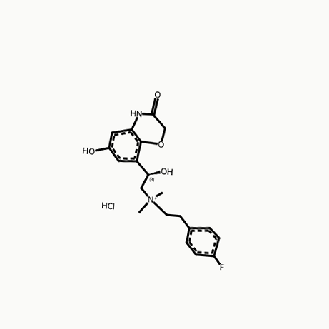 C[N+](C)(CCc1ccc(F)cc1)C[C@H](O)c1cc(O)cc2c1OCC(=O)N2.Cl